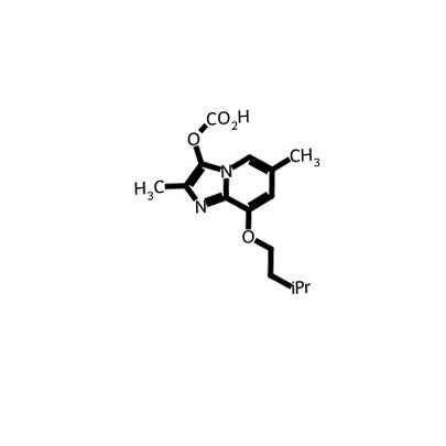 Cc1cc(OCCC(C)C)c2nc(C)c(OC(=O)O)n2c1